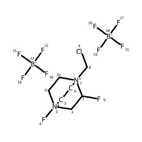 FC1C[N+]2(F)CC[N+]1(CCl)CC2.F[B-](F)(F)F.F[B-](F)(F)F